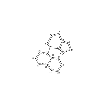 [c]1cc2ccccc2s1.c1ccc2ccccc2c1